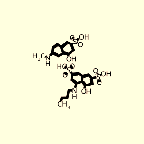 CCCCNc1cc(S(=O)(=O)O)cc2cc(S(=O)(=O)O)cc(O)c12.CNc1ccc2cc(S(=O)(=O)O)cc(O)c2c1